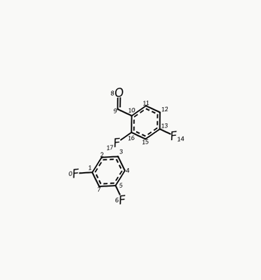 Fc1cccc(F)c1.O=Cc1ccc(F)cc1F